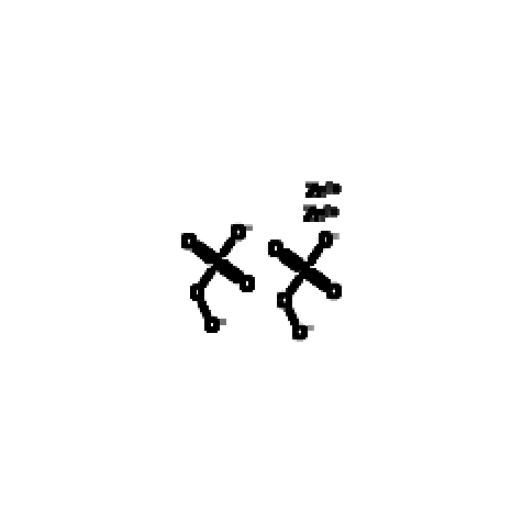 O=S(=O)([O-])O[O-].O=S(=O)([O-])O[O-].[Zn+2].[Zn+2]